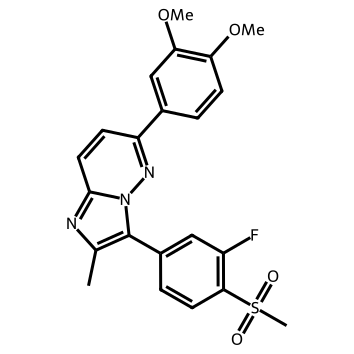 COc1ccc(-c2ccc3nc(C)c(-c4ccc(S(C)(=O)=O)c(F)c4)n3n2)cc1OC